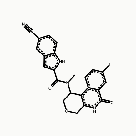 CN(C(=O)c1cc2cc(C#N)ccc2[nH]1)C1COCc2[nH]c(=O)c3cc(F)ccc3c21